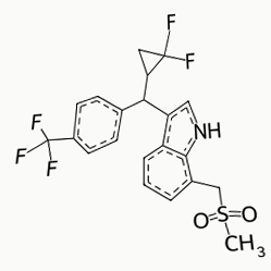 CS(=O)(=O)Cc1cccc2c(C(c3ccc(C(F)(F)F)cc3)C3CC3(F)F)c[nH]c12